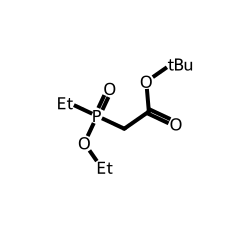 CCOP(=O)(CC)CC(=O)OC(C)(C)C